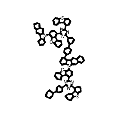 c1ccc(-c2ccc(-c3nc(-c4cccc5sc6ccccc6c45)nc(-c4ccc(-n5c6cc7ccccc7cc6c6c(-c7ccc(-c8cccc(-c9nc(-c%10cccc%11sc%12ccccc%12c%10%11)nc(-c%10ccc(-n%11c%12ccccc%12c%12cc%13ccccc%13cc%12%11)c%11oc%12ccccc%12c%10%11)n9)c8)cc7)cccc65)c5oc6ccccc6c45)n3)cc2)cc1